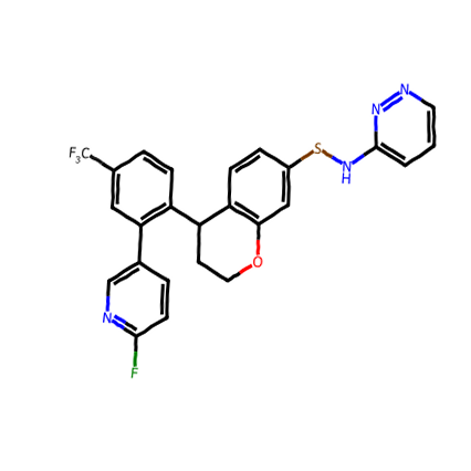 Fc1ccc(-c2cc(C(F)(F)F)ccc2C2CCOc3cc(SNc4cccnn4)ccc32)cn1